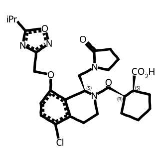 CC(C)c1nc(COc2ccc(Cl)c3c2[C@@H](CN2CCCC2=O)N(C(=O)[C@@H]2CCCC[C@@H]2C(=O)O)CC3)no1